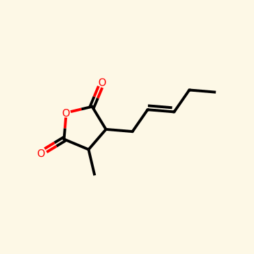 CC/C=C/CC1C(=O)OC(=O)C1C